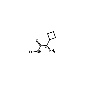 CCNC(=O)[C@H](N)C1CCC1